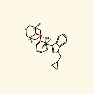 O=C(N[C@H]1C[C@H]2COC[C@@H](C1)N2Cc1ccccc1F)c1nn(CC2CC2)c2ccccc12